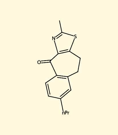 CCCc1ccc2c(c1)CCc1sc(C)nc1C2=O